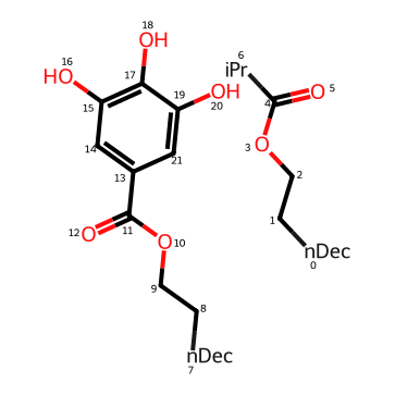 CCCCCCCCCCCCOC(=O)C(C)C.CCCCCCCCCCCCOC(=O)c1cc(O)c(O)c(O)c1